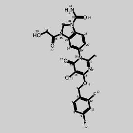 Cc1nc(OCc2ccc(F)cc2F)c(Cl)c(=O)n1-c1ccc2c(c1)N(C(=O)CO)CN2C(N)=O